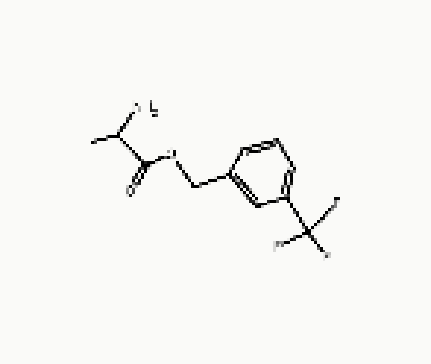 CC(N)C(=O)OCc1cccc(C(F)(F)F)c1